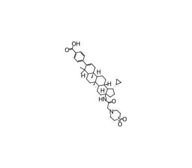 CC1(C)C(c2ccc(C(=O)O)cc2)=CC[C@]2(C)[C@H]3CC[C@@H]4[C@H]5[C@H](C6CC6)CC[C@]5(NC(=O)CN5CCS(=O)(=O)CC5)CC[C@@]4(C)[C@]3(C)CC[C@@H]12